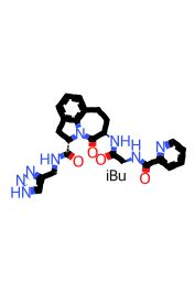 CC[C@H](C)[C@H](NC(=O)c1ccccn1)C(=O)N[C@H]1CCc2cccc3c2N(C1=O)[C@H](C(=O)NCc1c[nH]nn1)C3